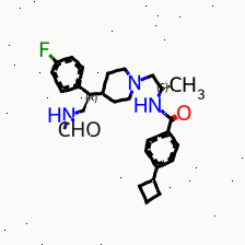 C[C@@H](CN1CCC([C@@H](CNC=O)c2ccc(F)cc2)CC1)NC(=O)c1ccc(C2CCC2)cc1